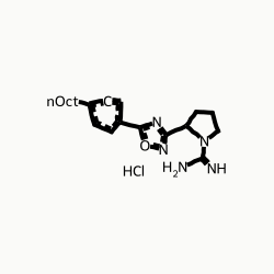 CCCCCCCCc1ccc(-c2nc(C3CCCN3C(=N)N)no2)cc1.Cl